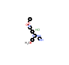 COc1ccc(-c2cc(NC3CCNCC3)cc(-c3ccc(C4CCN(C(=O)OCc5ccccc5)CC4)cc3)n2)cc1.Cl